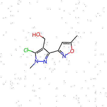 Cc1cc(-c2nn(C)c(Cl)c2CO)no1